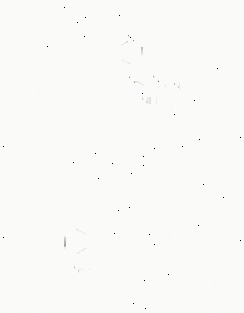 N#CN/C(=N\c1ccncc1)NCCCCCCCCCCOc1ccc([N+](=O)[O-])cc1